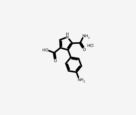 Cl.NC(=O)c1[nH]cc(C(=O)O)c1-c1ccc(N)cc1